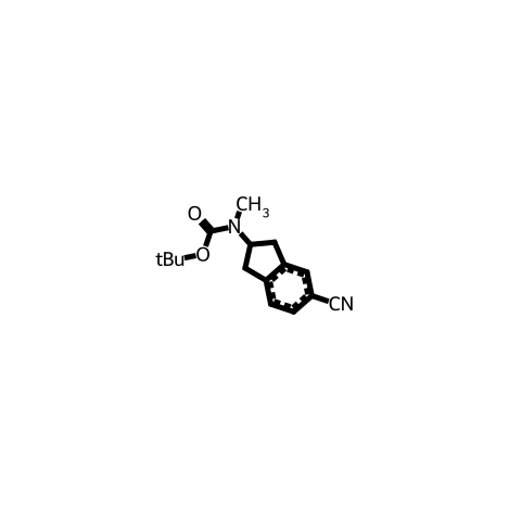 CN(C(=O)OC(C)(C)C)C1Cc2ccc(C#N)cc2C1